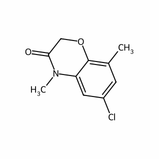 Cc1cc(Cl)cc2c1OCC(=O)N2C